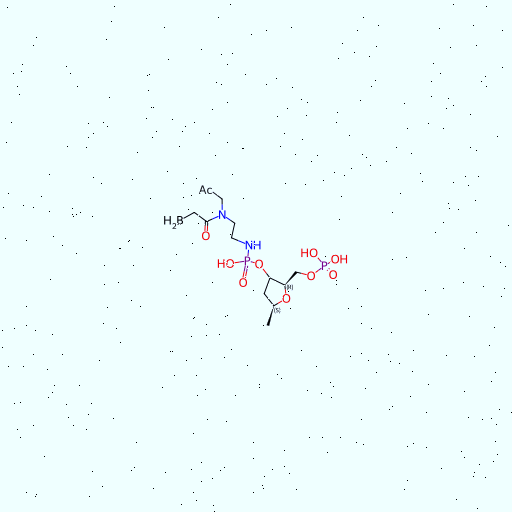 BCC(=O)N(CCNP(=O)(O)OC1C[C@H](C)O[C@@H]1COP(=O)(O)O)CC(C)=O